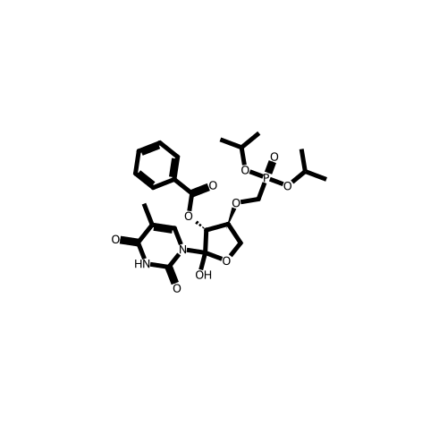 Cc1cn(C2(O)OC[C@H](OCP(=O)(OC(C)C)OC(C)C)[C@H]2OC(=O)c2ccccc2)c(=O)[nH]c1=O